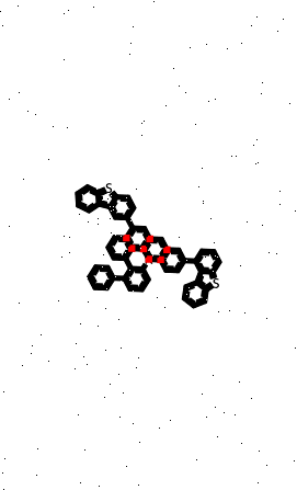 c1ccc(-c2ccccc2-c2c(-c3ccccc3)cccc2N(c2ccc(-c3ccc4sc5ccccc5c4c3)cc2)c2ccc(-c3cccc4sc5ccccc5c34)cc2)cc1